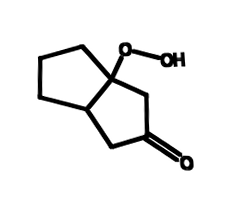 O=C1CC2CCCC2(OO)C1